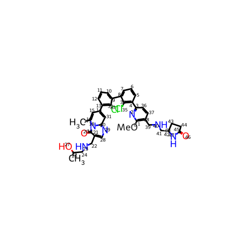 COc1nc(-c2cccc(-c3cccc(-c4cc(C)n5c(=O)c(CNCC(C)O)cnc5c4)c3Cl)c2Cl)ccc1CNC[C@H]1CCC(=O)N1